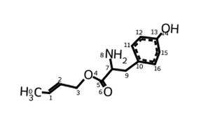 CC=CCOC(=O)C(N)Cc1ccc(O)cc1